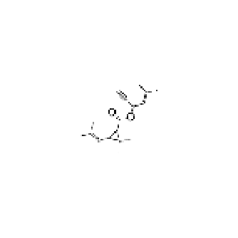 C#CC(C=C(C)C)OC(=O)C1C(C=C(C)C)C1(C)C